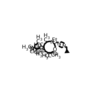 CCN1C[C@H](C)C[C@@](C)(OC)[C@H](O[C@@H]2O[C@H](C)C[C@H](N(C)C)[C@H]2O)[C@@H](C)C(=O)C(C)(C)C(=O)OC[C@@H]1CN1CCN(CC2CC2)CC1